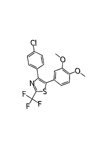 COc1ccc(-c2sc(C(F)(F)F)nc2-c2ccc(Cl)cc2)cc1OC